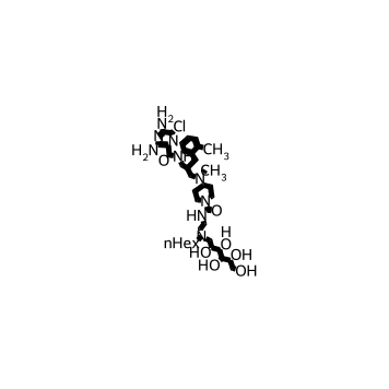 CCCCCCN(CCNC(=O)N1CCC(N(C)CC(CNC(=O)c2nc(Cl)c(N)nc2N)Cc2ccccc2C)CC1)CC(O)C(O)C(O)C(O)CO